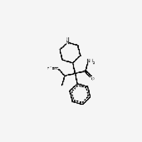 CCCCCC(C)C(C(N)=O)(c1ccccc1)C1CCNCC1